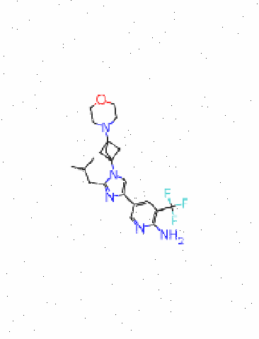 CC(C)Cc1nc(-c2cnc(N)c(C(F)(F)F)c2)cn1C12CC(N3CCOCC3)(C1)C2